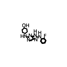 O[C@H]1CC[C@H](Nc2ncc3nc(Nc4ccccc4F)[nH]c3n2)CC1